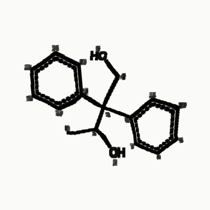 CC(O)C(CO)(c1ccccc1)c1ccccc1